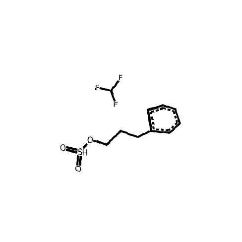 FC(F)F.O=[SH](=O)OCCCc1ccccc1